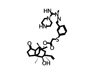 C=C[C@]1(C)C[C@@H](OC(=O)CSc2cccc(/C=N/N(C)C(=N)N3CCNCC3)c2)[C@]2(C)C(C)CCC3(CCC(=O)C32)[C@@H](C)[C@@H]1O